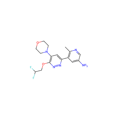 Cc1ncc(N)cc1-c1cc(N2CCOCC2)c(OCC(F)F)nn1